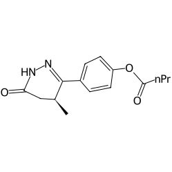 CCCC(=O)Oc1ccc(C2=NNC(=O)C[C@@H]2C)cc1